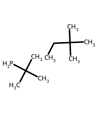 CC(C)(C)P.CCC(C)(C)C